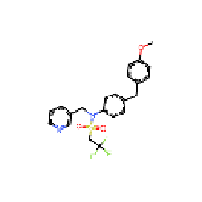 COc1ccc(Cc2ccc(N(Cc3cccnc3)S(=O)(=O)CC(F)(F)F)cc2)cc1